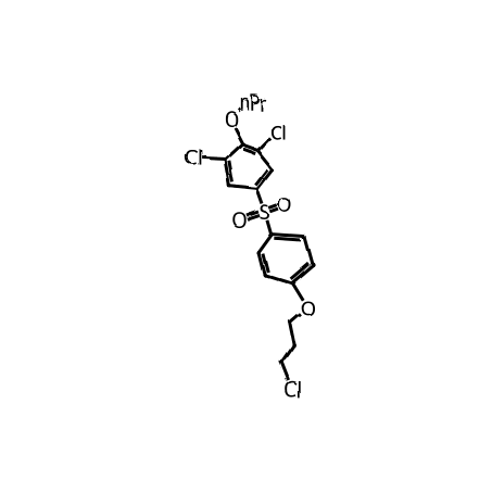 [CH2][CH]COc1c(Cl)cc(S(=O)(=O)c2ccc(OCCCCl)cc2)cc1Cl